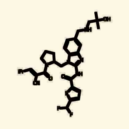 CC(C)C=C(C#N)C(=O)N1CCCC1Cn1c(NC(=O)c2ccc(C(F)F)s2)nc2cc(CNCC(C)(C)O)ccc21